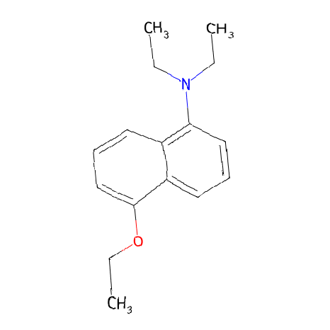 CCOc1cccc2c(N(CC)CC)cccc12